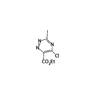 CCOC(=O)c1nnc(C)nc1Cl